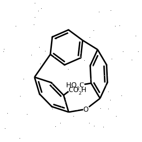 O=C(O)c1cc2ccc1oc1ccc(cc1C(=O)O)c1ccc2cc1